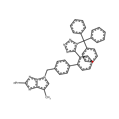 CCCc1nc2c(C)cn(Cc3ccc(-c4ccccc4-c4nnnn4C(c4ccccc4)(c4ccccc4)c4ccccc4)cc3)n2n1